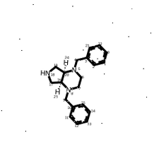 c1ccc(CN2CCN(Cc3ccccc3)[C@H]3CNC[C@H]32)cc1